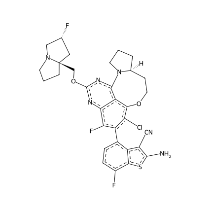 N#Cc1c(N)sc2c(F)ccc(-c3c(Cl)c4c5c(nc(OC[C@@]67CCCN6C[C@H](F)C7)nc5c3F)N3CCC[C@H]3CCO4)c12